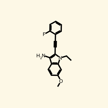 CCn1c(C#Cc2ccccc2F)c(N)c2ccc(OC)cc21